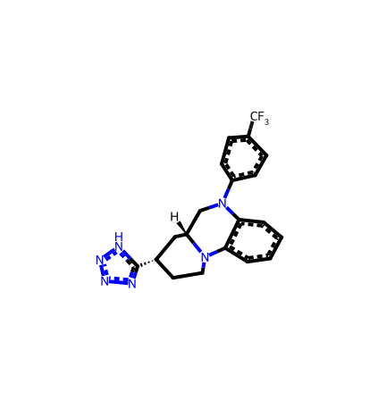 FC(F)(F)c1ccc(N2C[C@H]3C[C@@H](c4nnn[nH]4)CCN3c3ccccc32)cc1